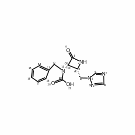 O=C1N[C@H](Cn2cncn2)[C@@H]1N(Cc1ccccc1)C(=O)O